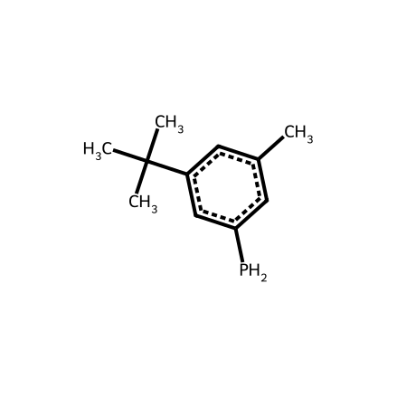 Cc1cc(P)cc(C(C)(C)C)c1